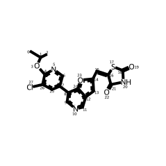 CC(C)Oc1ncc(-c2cncc3cc(C=C4SC(=O)NC4=O)oc23)cc1Cl